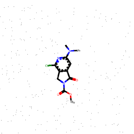 CC(C)N(C)c1cc2c(c(Cl)n1)CN(C(=O)OC(C)(C)C)C2=O